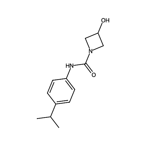 CC(C)c1ccc(NC(=O)N2CC(O)C2)cc1